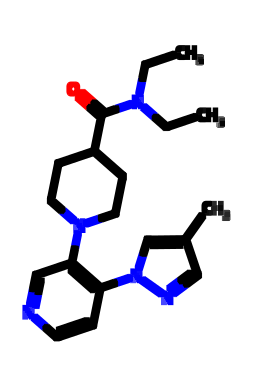 CCN(CC)C(=O)C1CCN(c2cnccc2-n2cc(C)cn2)CC1